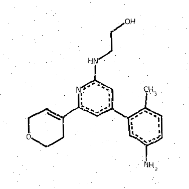 Cc1ccc(N)cc1-c1cc(NCCO)nc(C2=CCOCC2)c1